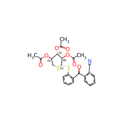 CC(=O)O[C@@H]1[C@@H](OC(C)=O)[C@H](Sc2ccccc2C(=O)c2ccccc2C#N)SC[C@H]1OC(C)=O